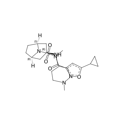 CN1CCC(N(C)S(=O)(=O)N2[C@@H]3CC[C@H]2C[C@@H](NC(=O)c2cc(C4CC4)on2)C3)CC1